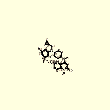 Cn1c(=O)cc(N(C)[C@H]2CC[C@@H](N(CC3CC3)c3cc(F)cc(F)c3)CC2)c2nc(C#N)ccc21